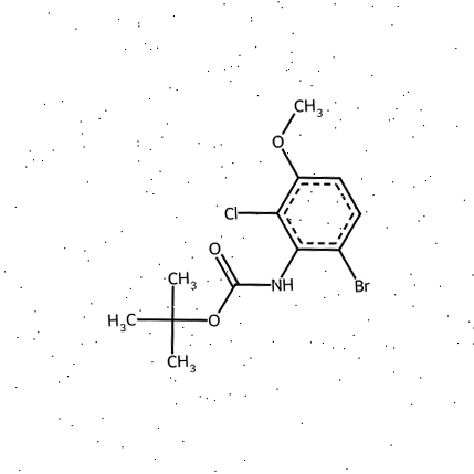 COc1ccc(Br)c(NC(=O)OC(C)(C)C)c1Cl